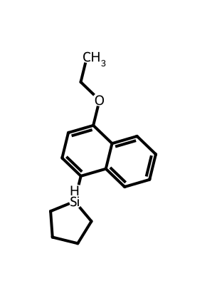 CCOc1ccc([SiH]2CCCC2)c2ccccc12